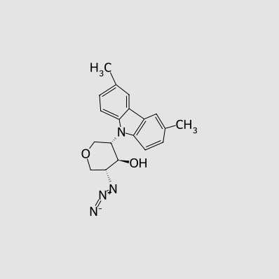 Cc1ccc2c(c1)c1cc(C)ccc1n2[C@H]1COC[C@@H](N=[N+]=[N-])[C@@H]1O